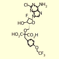 Nc1nc(Cl)nc2c1ncn2[C@@H]1O[C@H](COC(Cc2ccc(OCC(F)(F)F)cc2)(C(=O)O)C(=O)O)[C@@H](O)[C@@H]1F